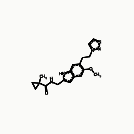 COc1cc2cc(CNC(=O)C3(C)CC3)[nH]c2cc1CCn1ccnn1